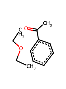 CC(=O)c1ccccc1.CCOCC